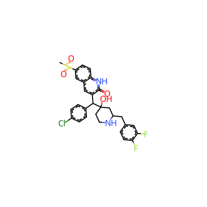 CS(=O)(=O)c1ccc2[nH]c(=O)c(C(c3ccc(Cl)cc3)C3(O)CCNC(Cc4ccc(F)c(F)c4)C3)cc2c1